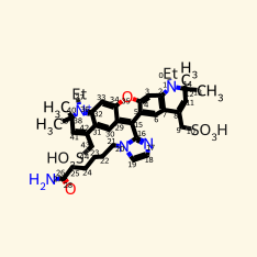 CCN1c2cc3c(cc2C(CS(=O)(=O)O)=CC1(C)C)C(c1nccn1CCCCCC(N)=O)=c1cc2c(cc1O3)=[N+](CC)C(C)(C)C=C2CS(=O)(=O)O